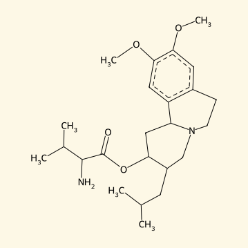 COc1cc2c(cc1OC)C1CC(OC(=O)C(N)C(C)C)C(CC(C)C)CN1CC2